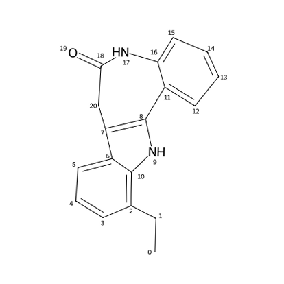 CCc1cccc2c3c([nH]c12)-c1ccccc1NC(=O)C3